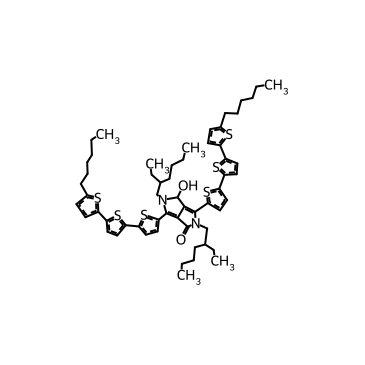 CCCCCCc1ccc(-c2ccc(-c3ccc(C4=C5C(=C(c6ccc(-c7ccc(-c8ccc(CCCCCC)s8)s7)s6)N(CC(CC)CCCC)C5O)C(=O)N4CC(CC)CCCC)s3)s2)s1